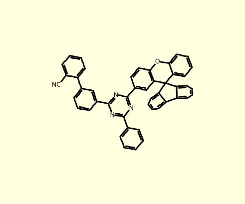 N#Cc1ccccc1-c1cccc(-c2nc(-c3ccccc3)nc(-c3ccc4c(c3)C3(c5ccccc5O4)c4ccccc4-c4ccccc43)n2)c1